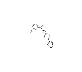 Cc1cccc(C(=O)NCN2CCC(c3ccccn3)CC2)c1